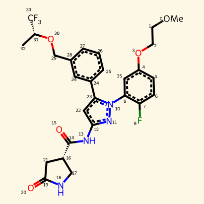 COCCOc1ccc(F)c(-n2nc(NC(=O)[C@@H]3CNC(=O)C3)cc2-c2cccc(CO[C@H](C)C(F)(F)F)c2)c1